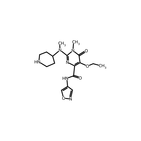 CCOc1c(C(=O)Nc2cnoc2)nc(N(C)C2CCNCC2)n(C)c1=O